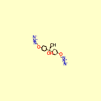 C#CC(O)(c1ccc(OCN=[N+]=[N-])cc1)C1C=CC(OCN=[N+]=[N-])=CC1